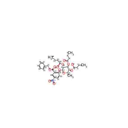 CCCC(=O)O[C@@H]1[C@@H](OC(=O)CCC)[C@H](C)O[C@H](Oc2ccc([N+](=O)[O-])cc2C(=O)OCc2ccccc2)[C@@H]1OC(=O)CCC